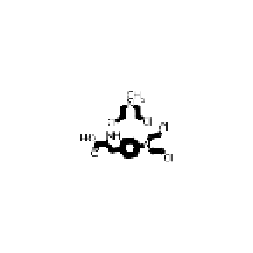 CN(CCCl)CCCl.N[C@@H](Cc1ccc(N(CCCl)CCCl)cc1)C(=O)O